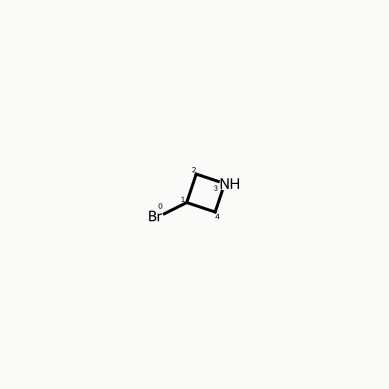 BrC1CNC1